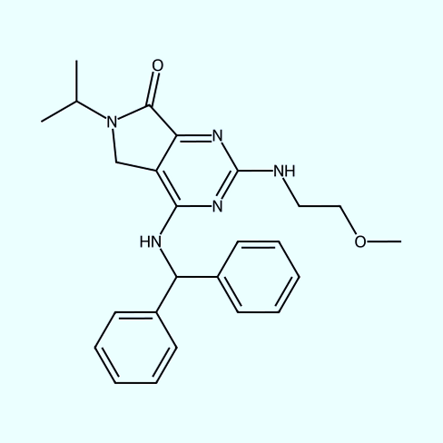 COCCNc1nc(NC(c2ccccc2)c2ccccc2)c2c(n1)C(=O)N(C(C)C)C2